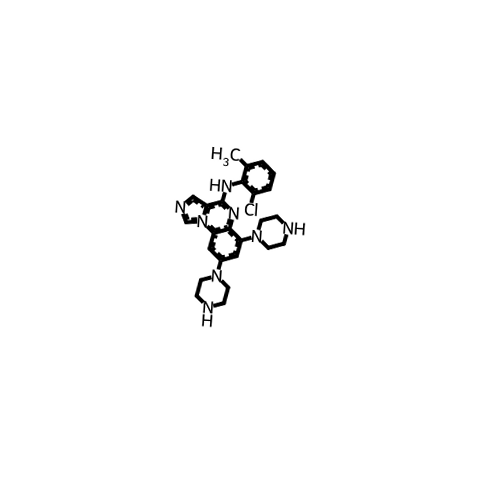 Cc1cccc(Cl)c1Nc1nc2c(N3CCNCC3)cc(N3CCNCC3)cc2n2cncc12